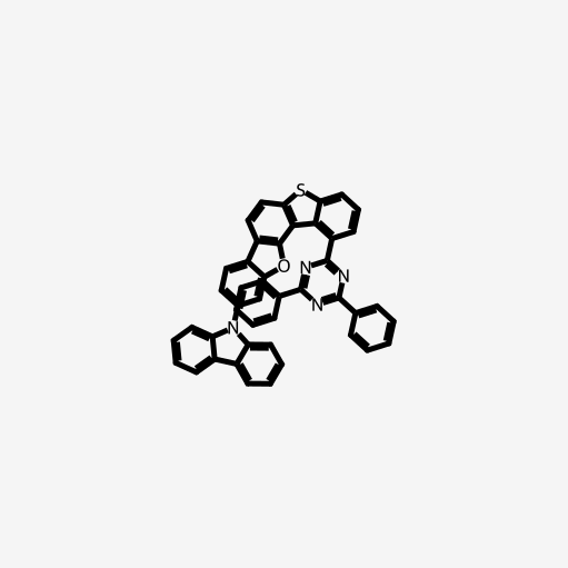 c1ccc(-c2nc(-c3ccccc3)nc(-c3cccc4sc5ccc6c7ccc(-n8c9ccccc9c9ccccc98)cc7oc6c5c34)n2)cc1